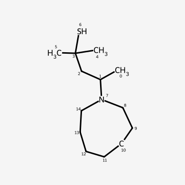 CC(CC(C)(C)S)N1CCCCCCC1